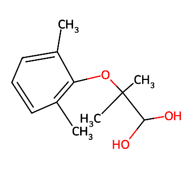 Cc1cccc(C)c1OC(C)(C)C(O)O